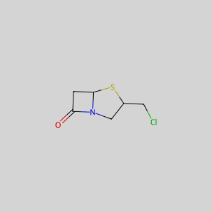 O=C1CC2SC(CCl)CN12